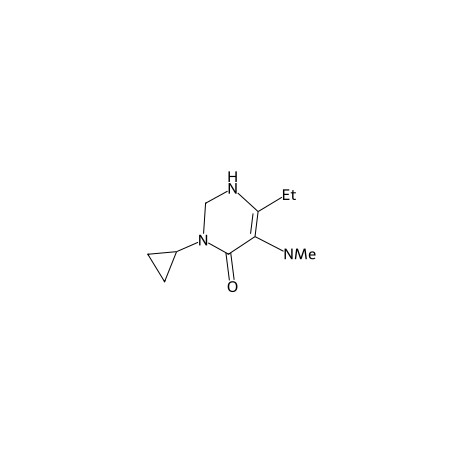 CCC1=C(NC)C(=O)N(C2CC2)CN1